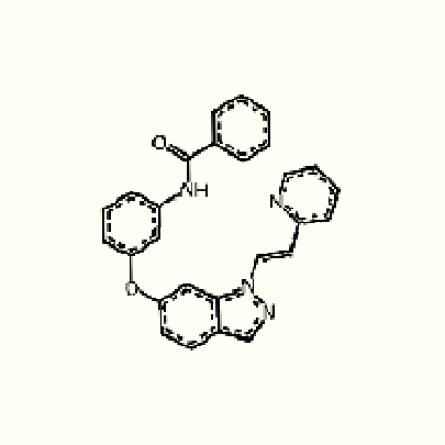 O=C(Nc1cccc(Oc2ccc3cnn(C=Cc4ccccn4)c3c2)c1)c1ccccc1